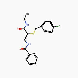 N#CCNC(=O)C(CNC(=O)c1ccccc1)SCc1ccc(Cl)cc1